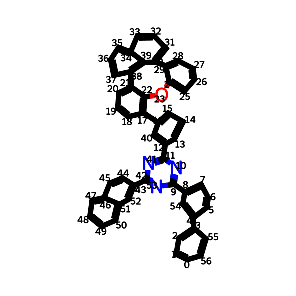 c1ccc(-c2cccc(-c3nc(-c4cccc(-c5cccc6c5Oc5ccccc5-c5cccc7cccc-6c57)c4)nc(-c4ccc5ccccc5c4)n3)c2)cc1